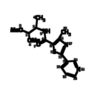 COC(OC)C(C)NC(=O)c1sc(-c2cccnc2)nc1C